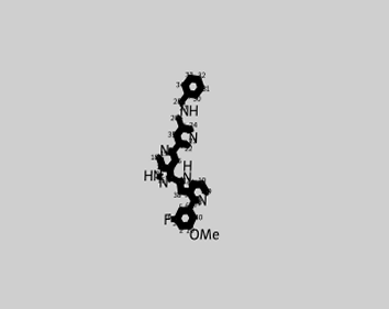 COc1cc(F)cc(-c2nccc3[nH]c(-c4n[nH]c5cnc(-c6cncc(CNCc7ccccc7)c6)cc45)cc23)c1